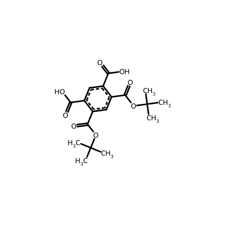 CC(C)(C)OC(=O)c1cc(C(=O)OC(C)(C)C)c(C(=O)O)cc1C(=O)O